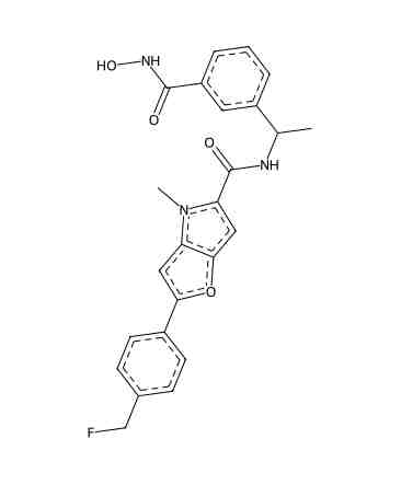 CC(NC(=O)c1cc2oc(-c3ccc(CF)cc3)cc2n1C)c1cccc(C(=O)NO)c1